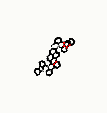 Fc1cccc(-c2ccccc2)c1N(c1ccc2ccc3c(N(c4ccccc4-c4ccccc4)c4cccc5c4oc4ccccc45)ccc4ccc1c2c43)c1cccc2c1oc1ccccc12